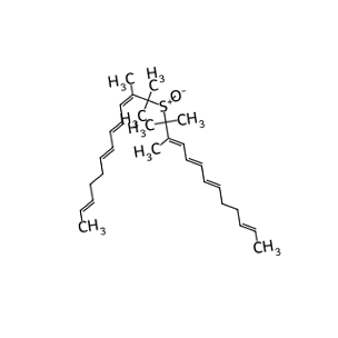 CC=CCCC=CC=CC=C(C)C(C)(C)[S+]([O-])C(C)(C)C(C)=CC=CC=CCCC=CC